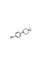 CC(C)c1ccc(N2CCC(C)(F)CC2)cc1